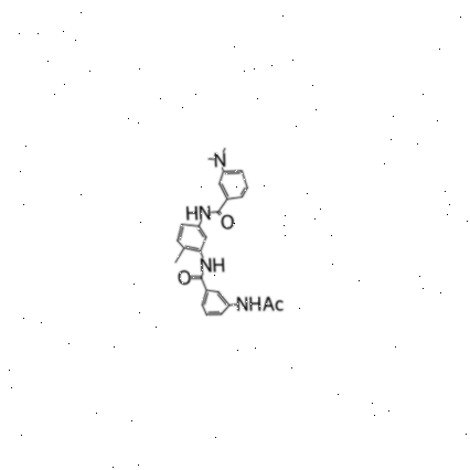 CC(=O)Nc1cccc(C(=O)Nc2cc(NC(=O)c3cccc(N(C)C)c3)ccc2C)c1